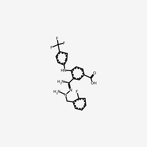 N/C(=N\N(N)Cc1ccccc1F)c1cc(C(=O)O)ccc1Nc1ccc(C(F)(F)F)cc1